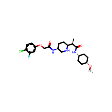 C[C@@H](C(=O)N[C@H]1CC[C@@H](OC(F)(F)F)CC1)C1CC[C@H](NC(=O)COc2ccc(Cl)c(F)c2)CN1